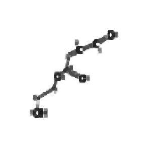 O=C=C=CC(=O)OCCO